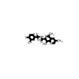 Cc1cnc2c(O)c(C(=O)NC(C)(C)c3ccc(F)c(Cl)c3)nc(C)c2c1